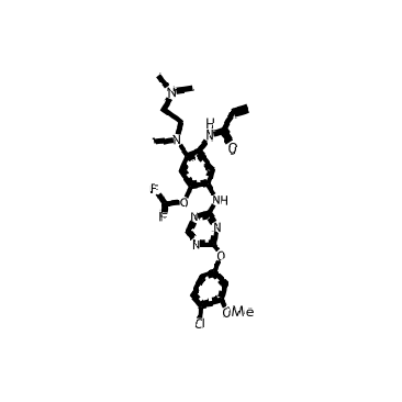 C=CC(=O)Nc1cc(Nc2ncnc(Oc3ccc(Cl)c(OC)c3)n2)c(OC(F)F)cc1N(C)CCN(C)C